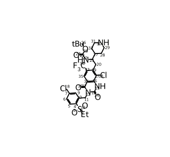 CCS(=O)(=O)c1ccc(Cl)cc1Cn1c(=O)[nH]c2c(Cl)c(CC(NC(=O)OC(C)(C)C)C3CCNCC3)c(C(F)(F)F)cc2c1=O